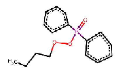 CCCCOOP(=O)(c1ccccc1)c1ccccc1